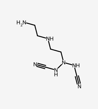 N#CNN(CCNCCN)NC#N